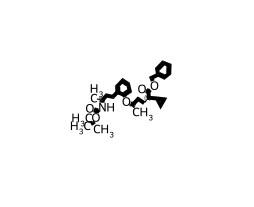 C[C@H](CCc1ccccc1O[C@H](C)CC[C@H](C(=O)OCc1ccccc1)C1CC1)NC(=O)OC(C)(C)C